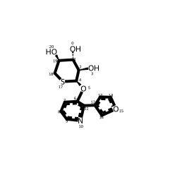 O[C@@H]1[C@@H](O)[C@@H](Oc2cccnc2-c2ccoc2)SC[C@H]1O